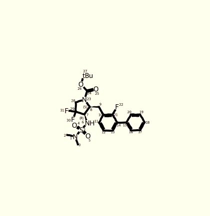 CN(C)S(=O)(=O)N[C@@H]1[C@H](Cc2cccc(-c3ccccc3)c2F)N(C(=O)OC(C)(C)C)CC1(F)F